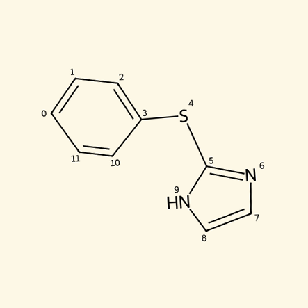 c1ccc(Sc2ncc[nH]2)cc1